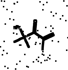 C=C(C)C(=O)[N+](C)(C)CCC